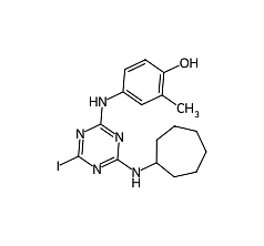 Cc1cc(Nc2nc(I)nc(NC3CCCCCC3)n2)ccc1O